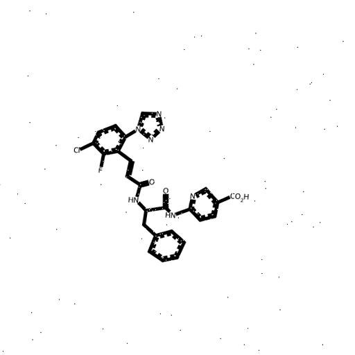 O=C(C=Cc1c(-n2cnnn2)ccc(Cl)c1F)NC(Cc1ccccc1)C(=O)Nc1ccc(C(=O)O)cn1